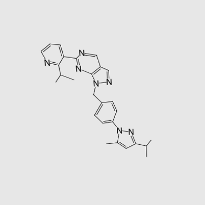 Cc1cc(C(C)C)nn1-c1ccc(Cn2ncc3cnc(-c4cccnc4C(C)C)nc32)cc1